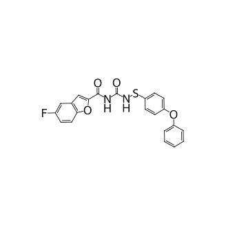 O=C(NSc1ccc(Oc2ccccc2)cc1)NC(=O)c1cc2cc(F)ccc2o1